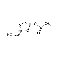 CC(=O)O[C@H]1CS[C@H](CO)O1